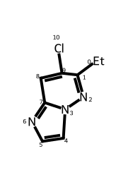 CCc1nn2ccnc2cc1Cl